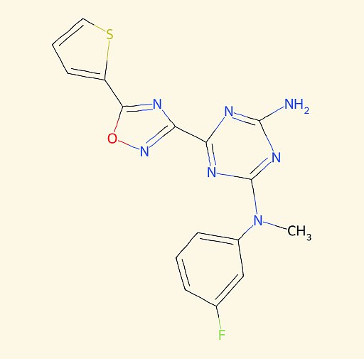 CN(c1cccc(F)c1)c1nc(N)nc(-c2noc(-c3cccs3)n2)n1